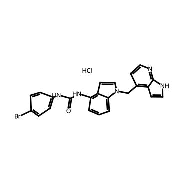 Cl.O=C(Nc1ccc(Br)cc1)Nc1cccc2c1ccn2Cc1ccnc2[nH]ccc12